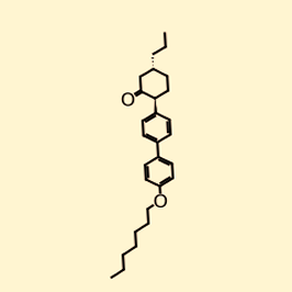 CCCCCCCOc1ccc(-c2ccc([C@@H]3CC[C@@H](CCC)CC3=O)cc2)cc1